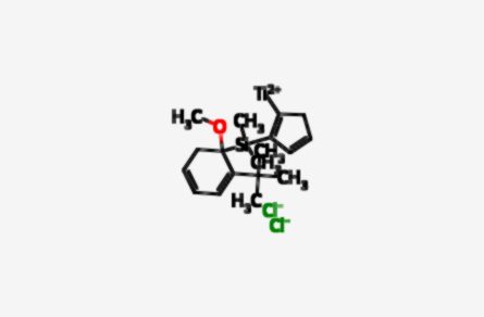 COC1([Si](C)(C)C2=[C]([Ti+2])CC=C2)CC=CC=C1C(C)(C)C.[Cl-].[Cl-]